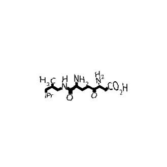 CC(C)CC(C)CNC(=O)C(N)CCC(=O)[C@H](N)CC(=O)O